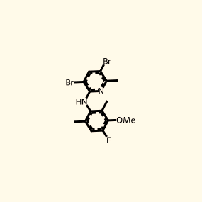 COc1c(F)cc(C)c(Nc2nc(C)c(Br)cc2Br)c1C